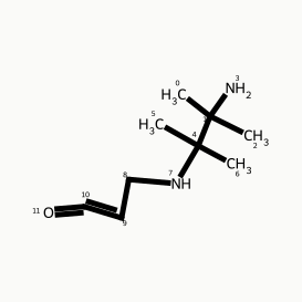 CC(C)(N)C(C)(C)NCC=C=O